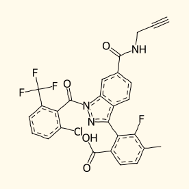 C#CCNC(=O)c1ccc2c(-c3c(C(=O)O)ccc(C)c3F)nn(C(=O)c3c(Cl)cccc3C(F)(F)F)c2c1